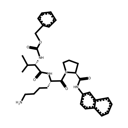 CC(C)[C@H](NC(=O)OCc1ccccc1)C(=O)N[C@@H](CCCCN)C(=O)N1CCC[C@H]1C(=O)Nc1ccc2ccccc2c1